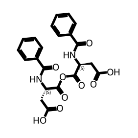 O=C(O)C[C@H](NC(=O)c1ccccc1)C(=O)OC(=O)[C@H](CC(=O)O)NC(=O)c1ccccc1